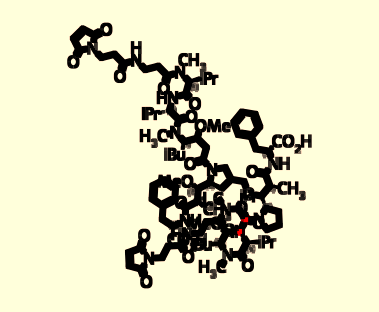 CCC(C)[C@@H](C(CC(=O)N1CCC[C@H]1C(OCC1C[C@@H]([C@H](OC)[C@@H](C)C(=O)N[C@@H](Cc2ccccc2)C(=O)O)N(C(=O)CC(OC)[C@H](C(C)CC)N(C)C(=O)[C@@H](NC(=O)[C@H](C(C)C)N(C)C(=O)CCNC(=O)CCN2C(=O)C=CC2=O)C(C)C)C1)[C@@H](C)C(=O)N[C@@H](Cc1ccccc1)C(=O)O)OC)N(C)C(=O)[C@@H](NC(=O)[C@H](C(C)C)N(C)C(=O)CCNC(=O)CCN1C(=O)C=CC1=O)C(C)C